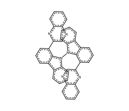 c1ccc2nc(-c3cccc4c5ccccc5n(-n5c6ccccc6c6cccc(-c7cnc8ccccc8n7)c65)c34)cnc2c1